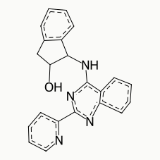 OC1Cc2ccccc2C1Nc1nc(-c2ccccn2)nc2ccccc12